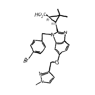 Cn1ccc(COc2ccc3nc([C@H]4[C@@H](C(=O)O)C4(C)C)n(Cc4ccc(Br)cc4)c3c2)n1